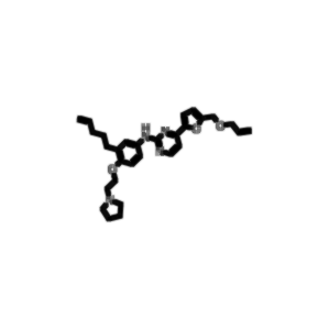 C=CCCCc1cc(Nc2nccc(-c3ccc(COCC=C)o3)n2)ccc1OCCN1CCCC1